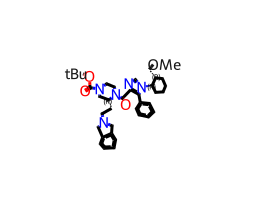 COC[C@@H]1CCCC[C@H]1n1cnc(C(=O)N2CCN(C(=O)OC(C)(C)C)C[C@H]2CCN2Cc3ccccc3C2)c1-c1ccccc1